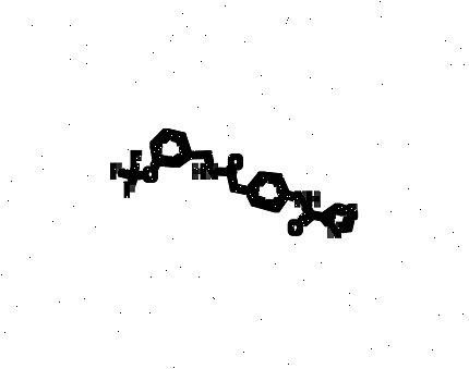 O=C(Cc1ccc(NC(=O)c2cscn2)cc1)NCc1cccc(OC(F)(F)F)c1